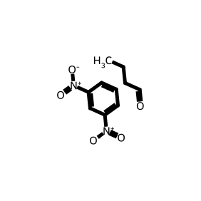 CCCC=O.O=[N+]([O-])c1cccc([N+](=O)[O-])c1